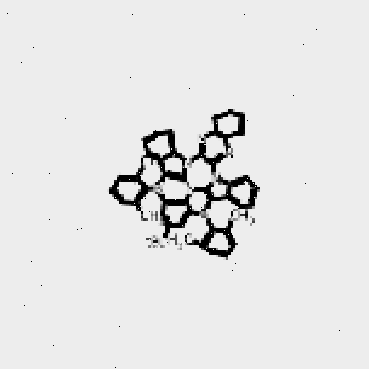 Cc1cccc(C)c1B1c2cc(C(C)(C)C)cc3c2-n2c4c1c1ccccc1n4c1nc4c(nc1n1c5ccccc5c(c21)B3c1c(C)cccc1C)CCCC4